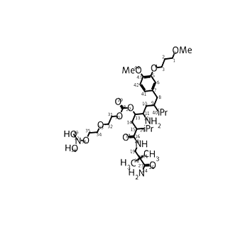 COCCCOc1cc(CC(CC(N)C(CC(C(=O)NCC(C)(C)C(N)=O)C(C)C)OC(=O)OCCOCCON(O)O)C(C)C)ccc1OC